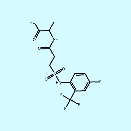 CC(NC(=O)CCS(=O)(=O)Nc1ccc(F)cc1C(F)(F)F)C(=O)O